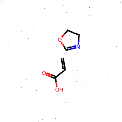 C1=NCCO1.C=CC(=O)O